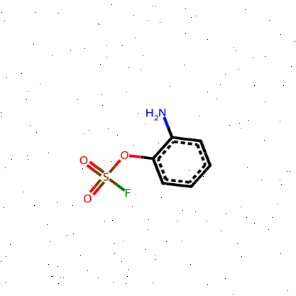 Nc1ccccc1OS(=O)(=O)F